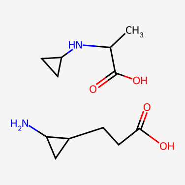 CC(NC1CC1)C(=O)O.NC1CC1CCC(=O)O